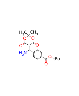 CC(C)(C)OC(=O)c1ccc(C(N)=C2C(=O)OC(C)(C)OC2=O)cc1